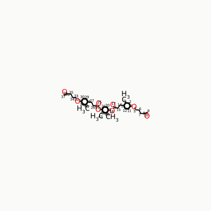 Cc1cc(OCCCC2CO2)ccc1CCC(=O)Oc1ccc(OC(=O)CCc2ccc(OCCCC3CO3)cc2C)c(C)c1C